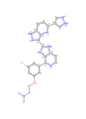 CN(C)CCOc1cc(F)cc(-c2nccc3[nH]c(-c4n[nH]c5ccc(-c6cn[nH]c6)nc45)nc23)c1